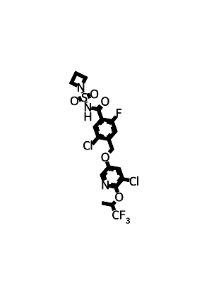 CC(Oc1ncc(OCc2cc(F)c(C(=O)NS(=O)(=O)N3CCC3)cc2Cl)cc1Cl)C(F)(F)F